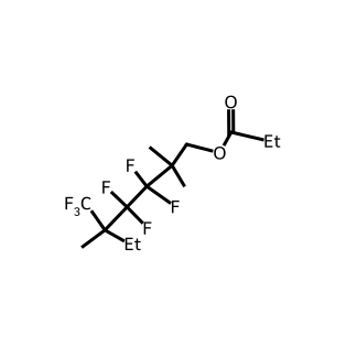 CCC(=O)OCC(C)(C)C(F)(F)C(F)(F)C(C)(CC)C(F)(F)F